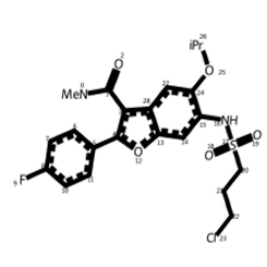 CNC(=O)c1c(-c2ccc(F)cc2)oc2cc(NS(=O)(=O)CCCCl)c(OC(C)C)cc12